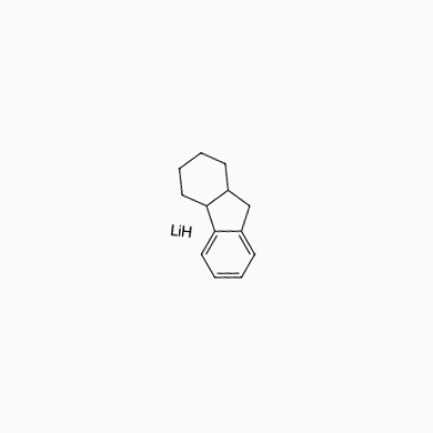 [LiH].c1ccc2c(c1)CC1CCCCC21